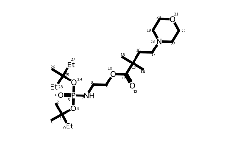 CCC(C)(C)OP(=O)(NCCOC(=O)C(C)(C)CCN1CCOCC1)OC(C)(CC)CC